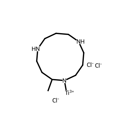 CC1CCNCCCNCCC[N]1[Ti+3].[Cl-].[Cl-].[Cl-]